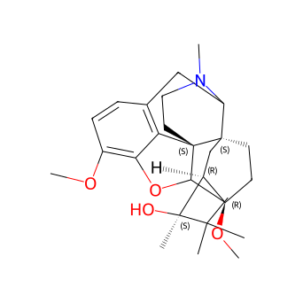 COc1ccc2c3c1OC1[C@@]4(OC)CC[C@@]5(C[C@@H]4[C@](C)(O)C(C)(C)C)C(C2)N(C)CC[C@]315